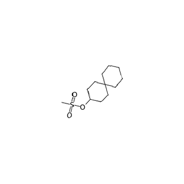 CS(=O)(=O)OC1CCC2(CCCCC2)CC1